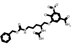 NC(=O)c1cc(OCC(CCCNC(=O)OCc2ccccc2)NC(=O)O)c(Cl)c([N+](=O)[O-])c1